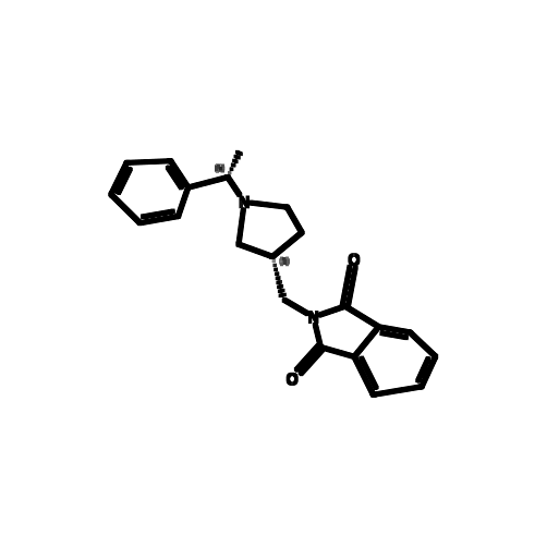 C[C@@H](c1ccccc1)N1CC[C@H](CN2C(=O)c3ccccc3C2=O)C1